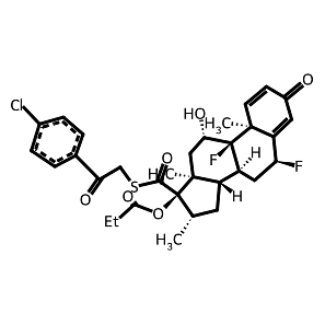 CCC(=O)O[C@]1(C(=O)SCC(=O)c2ccc(Cl)cc2)[C@@H](C)C[C@H]2[C@@H]3C[C@H](F)C4=CC(=O)C=C[C@]4(C)[C@@]3(F)[C@@H](O)C[C@@]21C